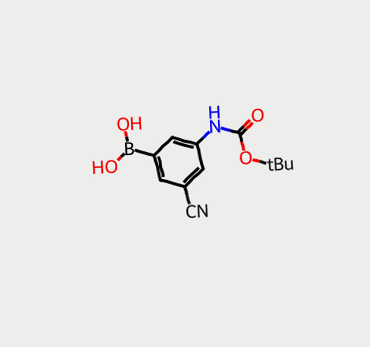 CC(C)(C)OC(=O)Nc1cc(C#N)cc(B(O)O)c1